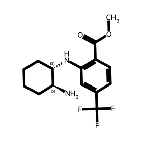 COC(=O)c1ccc(C(F)(F)F)cc1N[C@H]1CCCC[C@@H]1N